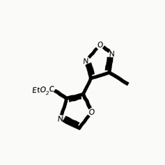 CCOC(=O)c1ncoc1-c1nonc1C